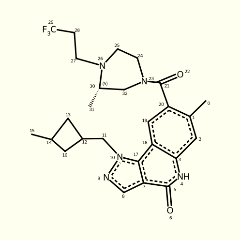 Cc1cc2[nH]c(=O)c3cnn(CC4CC(C)C4)c3c2cc1C(=O)N1CCN(CCC(F)(F)F)[C@@H](C)C1